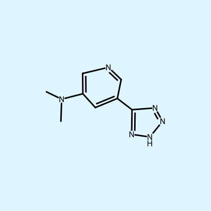 CN(C)c1cncc(-c2nn[nH]n2)c1